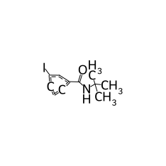 CC(C)(C)NC(=O)c1cccc(I)c1